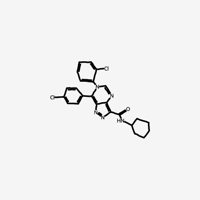 O=C(NC1CCCCC1)c1nnc2c(-c3ccc(Cl)cc3)n(-c3ccccc3Cl)cnc1-2